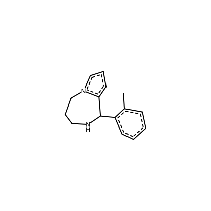 Cc1ccccc1C1NCCCn2cccc21